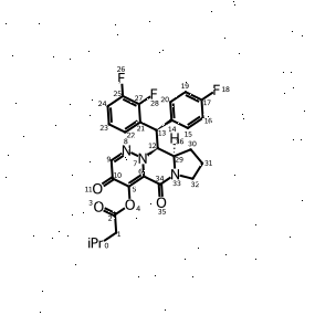 CC(C)CC(=O)Oc1c2n(ncc1=O)[C@@H]([C@H](c1ccc(F)cc1)c1cccc(F)c1F)[C@H]1CCCN1C2=O